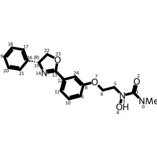 CNC(=O)N(O)CCOc1cccc(C2=N[C@H](c3ccccc3)CO2)c1